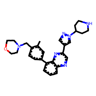 Cc1cc(-c2cccc3ncc(-c4cnn(C5CCNCC5)c4)nc23)ccc1CN1CCOCC1